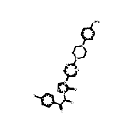 CCC(C(=O)c1ccc(Cl)cc1)n1ncn(-c2cnc(N3CCN(c4ccc(OC)cc4)CC3)nc2)c1=O